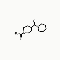 O=C(O)N1CCC(C(=O)N2CCCCC2)CC1